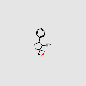 CC(C)C1C(c2ccccc2)CCC12COC2